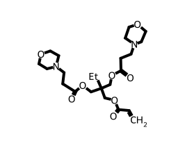 C=CC(=O)OCC(CC)(COC(=O)CCN1CCOCC1)COC(=O)CCN1CCOCC1